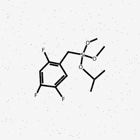 CO[Si](Cc1cc(F)c(F)cc1F)(OC)OC(C)C